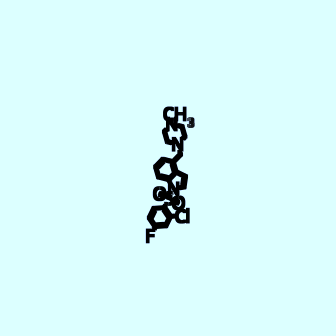 CN1CCN(Cc2cccc3c2ccn3S(=O)(=O)c2ccc(F)cc2Cl)CC1